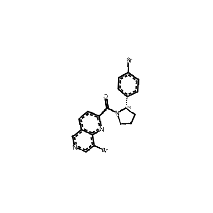 O=C(c1ccc2cncc(Br)c2n1)N1CCC[C@H]1c1ccc(Br)cc1